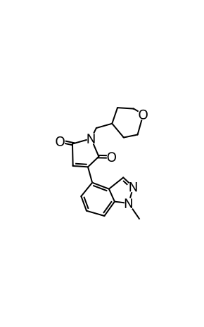 Cn1ncc2c(C3=CC(=O)N(CC4CCOCC4)C3=O)cccc21